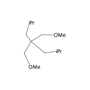 COCC(COC)(CC(C)C)CC(C)C